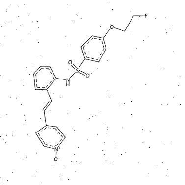 O=S(=O)(Nc1ccccc1/C=C/c1cc[n+]([O-])cc1)c1ccc(OCCF)cc1